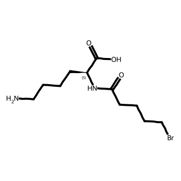 NCCCC[C@H](NC(=O)CCCCBr)C(=O)O